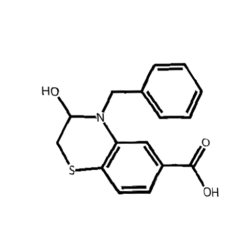 O=C(O)c1ccc2c(c1)N(Cc1ccccc1)C(O)CS2